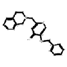 O=c1cc(CN2CCc3ccccc3C2)occ1OCc1ccccc1